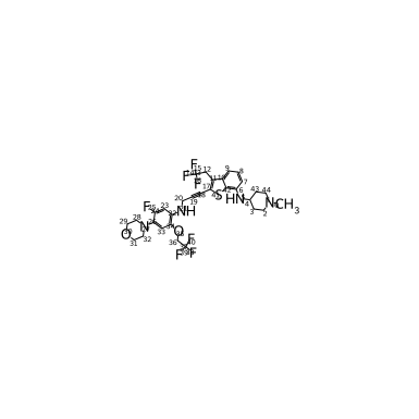 CN1CCC(Nc2cccc3c(CC(F)(F)F)c(C#CCNc4cc(F)c(N5CCOCC5)cc4OCC(F)(F)F)sc23)CC1